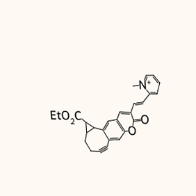 CCOC(=O)C1C2CCC#Cc3cc4oc(=O)c(/C=C/c5cccc[n+]5C)cc4cc3C21